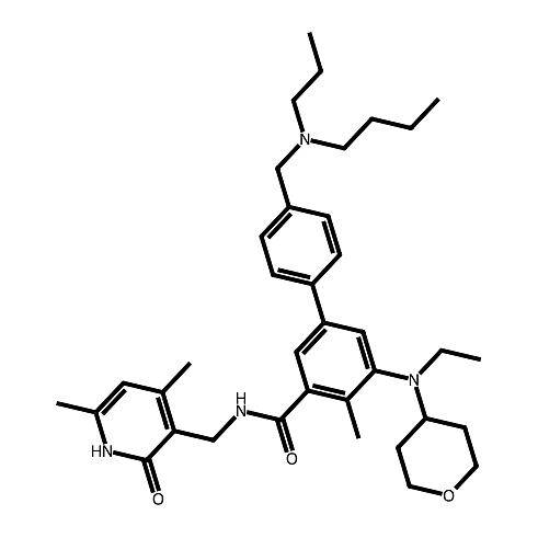 CCCCN(CCC)Cc1ccc(-c2cc(C(=O)NCc3c(C)cc(C)[nH]c3=O)c(C)c(N(CC)C3CCOCC3)c2)cc1